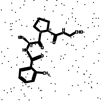 Cc1ccccc1C(=O)N[C@H](C(=O)N1CCC[C@H]1C(=O)NCC=O)C(C)(C)C